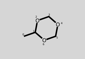 CC1OCOCO1